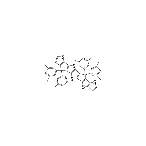 Cc1cc(C)cc(C2(c3cc(C)cc(C)c3)c3ccsc3-c3sc4c5c(sc4c32)-c2sc3ccsc3c2C5(c2cc(C)cc(C)c2)c2cc(C)cc(C)c2)c1